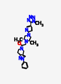 C[C@@H]1CN(c2ccc(-c3nnnn3C)cn2)C[C@H](C)N1CC(=O)N1CCc2nn(-c3ccccc3)cc2C1